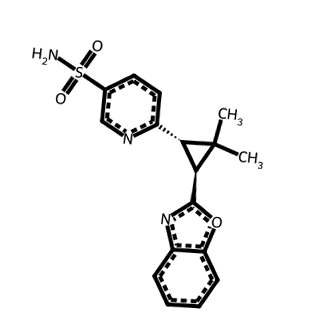 CC1(C)[C@@H](c2ccc(S(N)(=O)=O)cn2)[C@@H]1c1nc2ccccc2o1